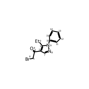 CCc1c(C(=O)CBr)cnn1-c1ccccc1